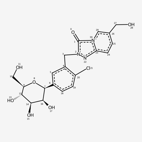 O=c1n(Cc2cc([C@@H]3O[C@H](CO)[C@@H](O)[C@H](O)[C@@H]3O)ccc2Cl)nc2ccc(CO)cn12